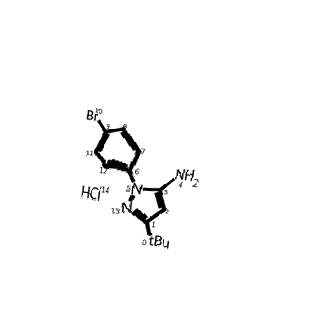 CC(C)(C)c1cc(N)n(-c2ccc(Br)cc2)n1.Cl